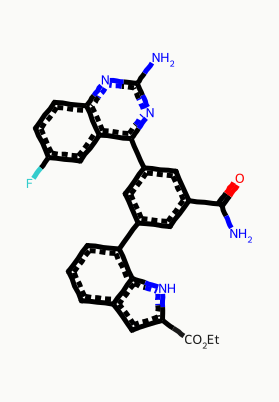 CCOC(=O)c1cc2cccc(-c3cc(C(N)=O)cc(-c4nc(N)nc5ccc(F)cc45)c3)c2[nH]1